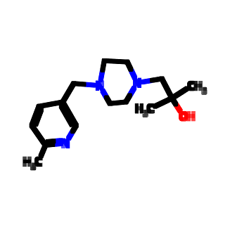 Cc1ccc(CN2CCN(CC(C)(C)O)CC2)cn1